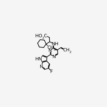 C=Cc1cnc(-c2c[nH]c3ncc(F)cc23)nc1NC(CC(=O)O)C1(C)CCCCC1